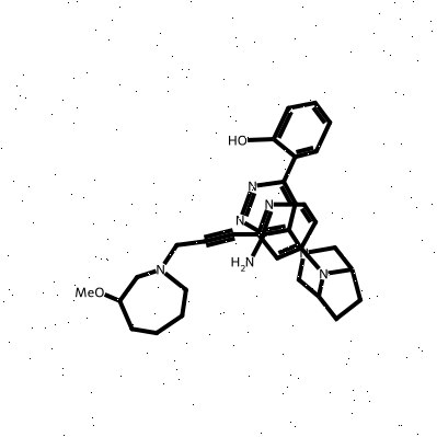 COC1CCCCN(CC#Cc2cc(N3C4CCC3CN(c3cc(-c5ccccc5O)nnc3N)C4)ccn2)C1